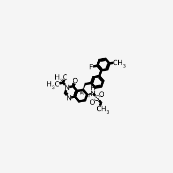 CCS(=O)(=O)N[C@H]1CCc2ncn(C(C)C)c(=O)c2[C@H]1Cc1cccc(-c2cc(C)ccc2F)c1